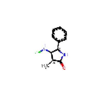 C[C@@H]1C(=O)N[C@H](c2ccccc2)C1NCl